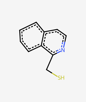 SCc1nccc2ccccc12